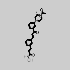 CC(=O)N1[C@H](C)CN(c2cccc(C(=O)C=Cc3cccc(C=CC(=O)NO)c3)c2)C[C@@H]1C